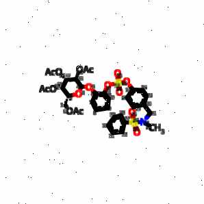 CC(=O)OC[C@H]1OC(Oc2ccccc2OS(=O)(=O)Oc2ccc(CN(C)S(=O)(=O)c3ccccc3)cc2)[C@H](OC(C)=O)[C@@H](OC(C)=O)[C@H]1OC(C)=O